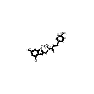 CN(Cc1cc2c(Cl)cc(Cl)cc2n1C)C(=O)C=Cc1ccc(N)nc1